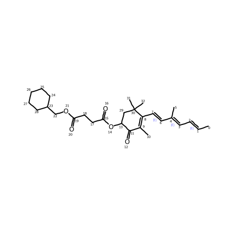 C/C=C/C=C(C)/C=C/C1=C(C)C(=O)C(OC(=O)CCC(=O)OCC2CCCCC2)CC1(C)C